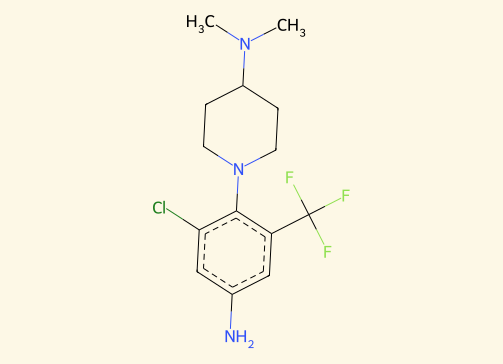 CN(C)C1CCN(c2c(Cl)cc(N)cc2C(F)(F)F)CC1